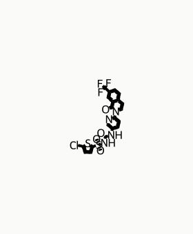 O=C(Nc1ccc(-n2ccc3ccc(C(F)(F)F)cc3c2=O)nc1)NS(=O)(=O)c1ccc(Cl)s1